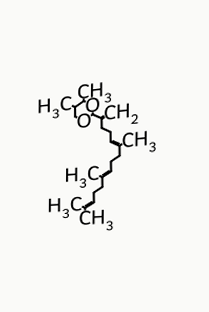 C=C(CC/C=C(\C)CC/C=C(\C)CCC=C(C)C)C1OCC(C)C(C)O1